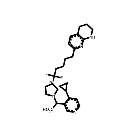 O=C(O)C(c1cnccc1C1CC1)N1CC[C@@H](C(F)(F)CCCCc2ccc3c(n2)NCCC3)C1